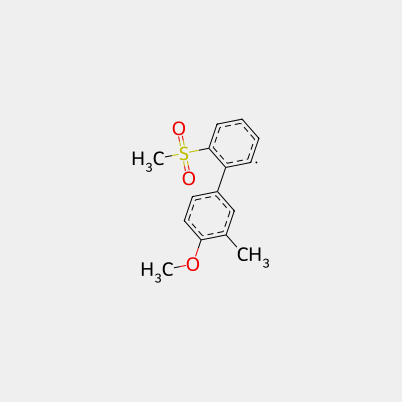 COc1ccc(-c2[c]cccc2S(C)(=O)=O)cc1C